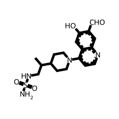 CC(CNS(N)(=O)=O)C1CCN(c2ccnc3cc(C=O)c(O)cc23)CC1